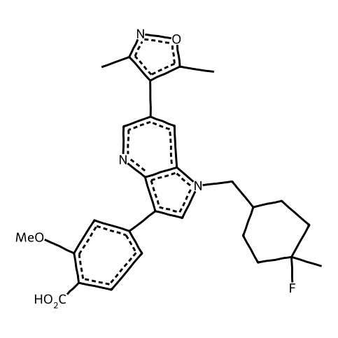 COc1cc(-c2cn(CC3CCC(C)(F)CC3)c3cc(-c4c(C)noc4C)cnc23)ccc1C(=O)O